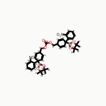 CC1(C)OB(C2(c3ccccc3[N+](=O)[O-])C=CC(COC(=O)OCC3C=CC(B4OC(C)(C)C(C)(C)O4)(c4ccccc4[N+](=O)[O-])C=C3)C=C2)OC1(C)C